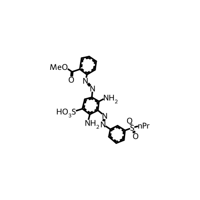 CCCS(=O)(=O)c1cccc(/N=N/c2c(N)c(/N=N/c3ccccc3C(=O)OC)cc(S(=O)(=O)O)c2N)c1